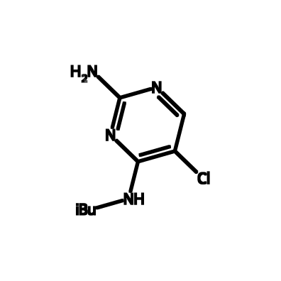 CCC(C)Nc1nc(N)ncc1Cl